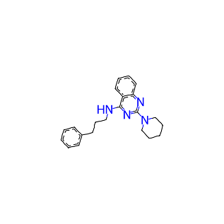 c1ccc(CCCNc2nc(N3CCCCC3)nc3ccccc23)cc1